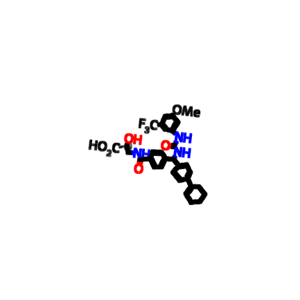 COc1cc(NC(=O)NC(c2ccc(C(=O)NC[C@@H](O)C(=O)O)cc2)c2ccc(C3=CCCCC3)cc2)cc(C(F)(F)F)c1